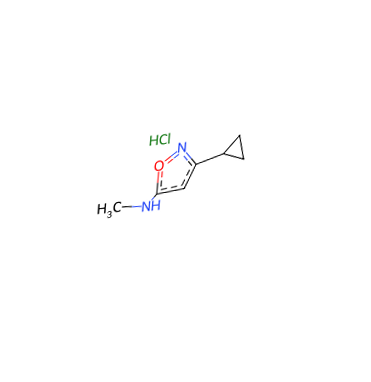 CNc1cc(C2CC2)no1.Cl